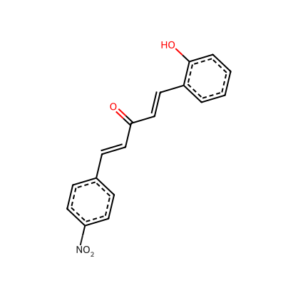 O=C(C=Cc1ccc([N+](=O)[O-])cc1)C=Cc1ccccc1O